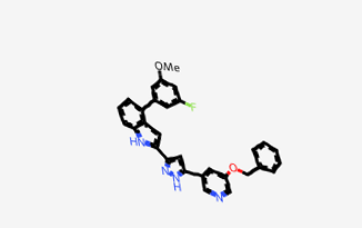 COc1cc(F)cc(-c2cccc3[nH]c(-c4cc(-c5cncc(OCc6ccccc6)c5)[nH]n4)cc23)c1